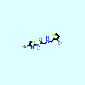 O=C(CNCc1sccc1Br)Nc1nc(Br)cs1